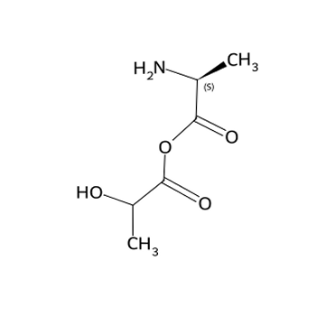 CC(O)C(=O)OC(=O)[C@H](C)N